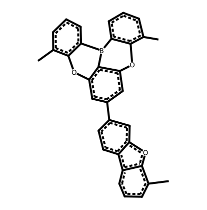 Cc1cccc2c1Oc1cc(-c3ccc4c(c3)oc3c(C)cccc34)cc3c1B2c1cccc(C)c1O3